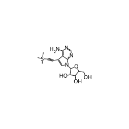 CS(C)(C)C#Cc1cn(C2OC(CO)C(O)C2O)c2ncnc(N)c12